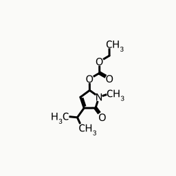 CCOC(=O)OC1C=C(C(C)C)C(=O)N1C